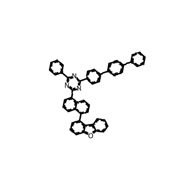 c1ccc(-c2ccc(-c3ccc(-c4nc(-c5ccccc5)nc(-c5cccc6c(-c7cccc8oc9ccccc9c78)cccc56)n4)cc3)cc2)cc1